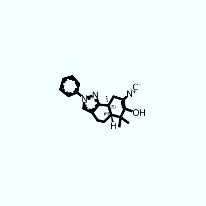 [C-]#[N+]C1=C(O)C(C)(C)[C@@H]2CCc3cn(-c4ccccc4)nc3[C@@]2(C)C1